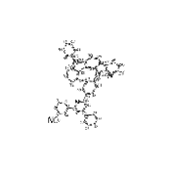 N#Cc1cccc(-c2cc(-c3ccccc3)cc(-c3ccc(-n4c5ncccc5c5ccc6c(c7ccccc7n6-c6ccccc6)c54)cc3)n2)c1